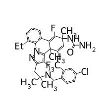 CCc1cccc2c1-n1nc3c(c1C1(C)C(F)=CC(C)(NC(N)=O)C(F)=C21)CN(Cc1ccc(Cl)cc1C(F)(F)F)C(C)(C)C3